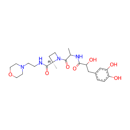 CC(NC(=O)C(O)Cc1ccc(O)c(O)c1)C(=O)N1CC[C@]1(C)C(=O)NCCN1CCOCC1